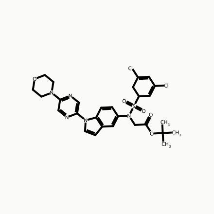 CC(C)(C)OC(=O)CN(c1ccc2c(ccn2-c2cnc(N3CCOCC3)cn2)c1)S(=O)(=O)C1C=C(Cl)C=C(Cl)C1